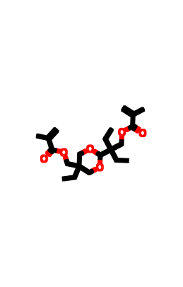 C=C(C)C(=O)OCC1(CC)COC(C(CC)(CC)COC(=O)C(=C)C)OC1